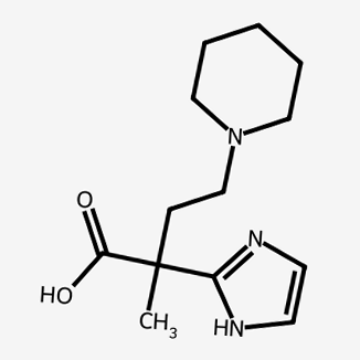 CC(CCN1CCCCC1)(C(=O)O)c1ncc[nH]1